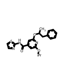 CC(C)Oc1cc(C(=O)Nc2nccs2)cc(OC(C)Cc2ccccc2)n1